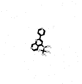 CN(c1cc(-c2ccncc2)nc2cnccc12)C(C)(C)C